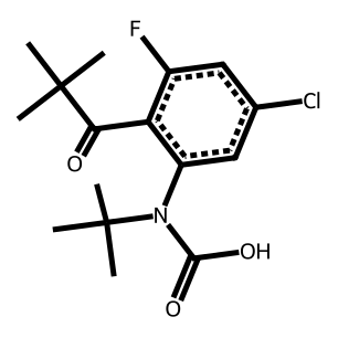 CC(C)(C)C(=O)c1c(F)cc(Cl)cc1N(C(=O)O)C(C)(C)C